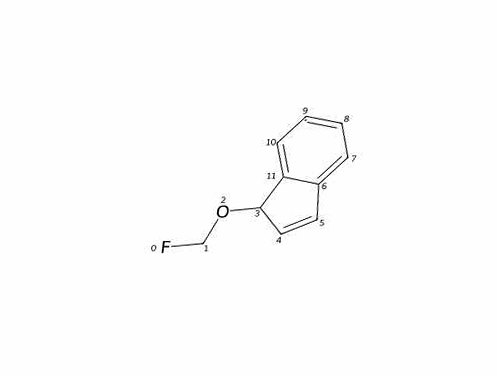 FCOC1C=Cc2cc[c]cc21